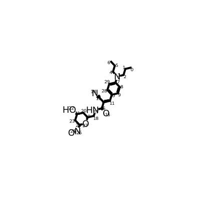 CCCN(CCC)c1ccc(/C=C(\C#N)C(=O)NCC2CC(O)CC(N=O)O2)cc1